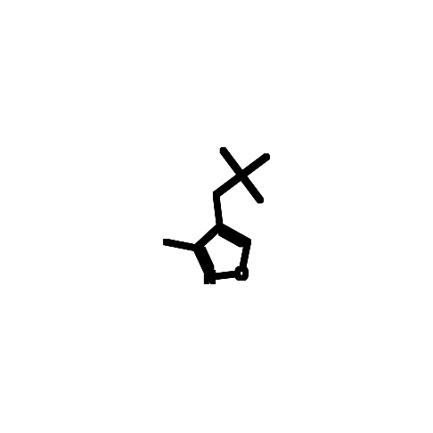 Cc1nocc1CC(C)(C)C